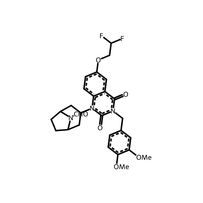 COc1ccc(Cn2c(=O)c3cc(OCC(F)F)ccc3n(C3CC4CCC(C3)N4C=O)c2=O)cc1OC